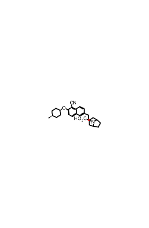 C[C@H]1CC[C@@H](Oc2ccc3cc(CCN4C5CCC4CC(C(=O)O)C5)ccc3c2C#N)CC1